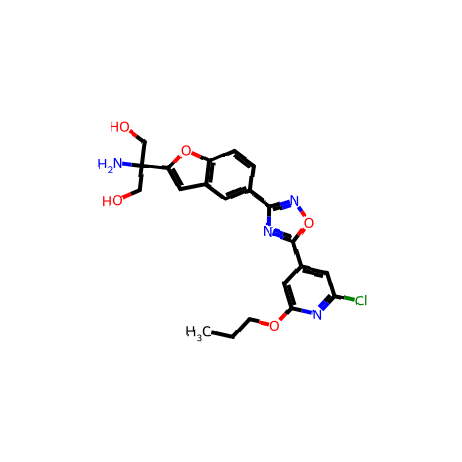 CCCOc1cc(-c2nc(-c3ccc4oc(C(N)(CO)CO)cc4c3)no2)cc(Cl)n1